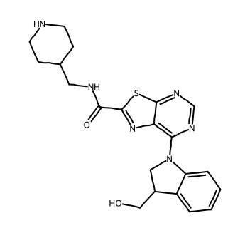 O=C(NCC1CCNCC1)c1nc2c(N3CC(CO)c4ccccc43)ncnc2s1